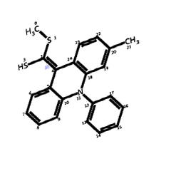 CS/C(S)=C1/c2ccccc2N(c2ccccc2)c2cc(C)ccc21